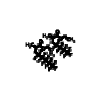 C=C(CC(F)(F)C(F)(F)C(F)(F)C(F)(F)C(F)(F)F)C(=O)OCC.C=C(CC(F)(F)C(F)(F)C(F)(F)C(F)(F)F)C(=O)OCC